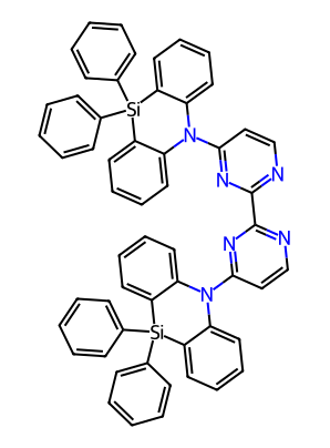 c1ccc([Si]2(c3ccccc3)c3ccccc3N(c3ccnc(-c4nccc(N5c6ccccc6[Si](c6ccccc6)(c6ccccc6)c6ccccc65)n4)n3)c3ccccc32)cc1